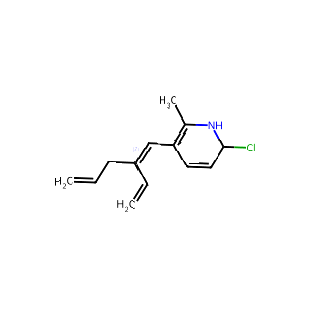 C=CC/C(C=C)=C/C1=C(C)NC(Cl)C=C1